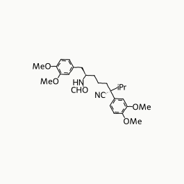 COc1ccc(C[C@@H](CCC[C@](C#N)(c2ccc(OC)c(OC)c2)C(C)C)NC=O)cc1OC